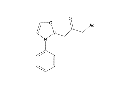 CC(=O)CC(=O)CN1OC=CN1c1ccccc1